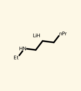 CCCCCCNCC.[LiH]